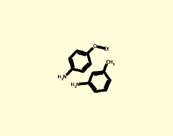 CCOc1ccc(N)cc1.Cc1cccc(N)c1